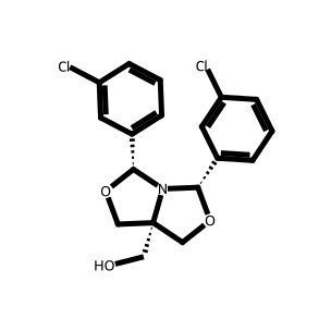 OC[C@]12CO[C@H](c3cccc(Cl)c3)N1[C@H](c1cccc(Cl)c1)OC2